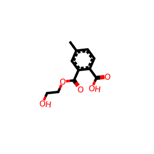 Cc1ccc(C(=O)O)c(C(=O)OCCO)c1